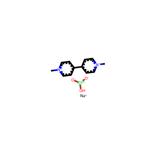 C[n+]1ccc(-c2cc[n+](C)cc2)cc1.[Na+].[O-][Cl+2]([O-])O